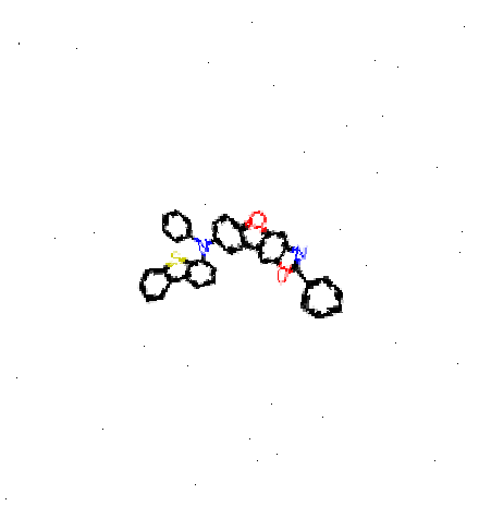 c1ccc(-c2nc3cc4oc5ccc(N(c6ccccc6)c6cccc7c6sc6ccccc67)cc5c4cc3o2)cc1